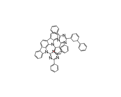 C1=CC(c2ccccc2)CC(c2nc(-c3ccccc3)nc(-c3ccccc3-n3c4ccccc4c4ccc5c6ccccc6n(-c6nc(-c7ccccc7)nc(-c7ccccc7)n6)c5c43)n2)=C1